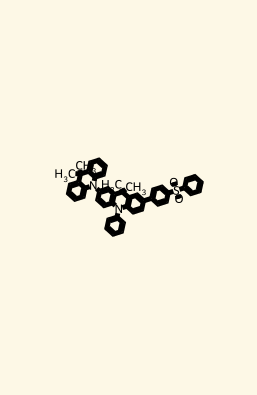 CC1(C)c2ccccc2N(c2ccc3c(c2)C(C)(C)c2cc(-c4ccc(S(=O)(=O)c5ccccc5)cc4)ccc2N3c2ccccc2)c2ccccc21